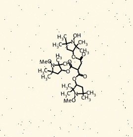 CON1C(C)(C)CC(OC(=O)C(CC(=O)OC2CC(C)(C)N(O)C2(C)C)C(=O)OC2CC(C)(C)N(OC)C2(C)C)C1(C)C